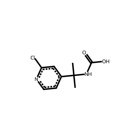 CC(C)(NC(=O)O)c1ccnc(Cl)c1